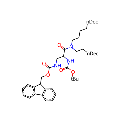 CCCCCCCCCCCCCCN(CCCCCCCCCCCC)C(=O)C(CNC(=O)OCC1c2ccccc2-c2ccccc21)NC(=O)OC(C)(C)C